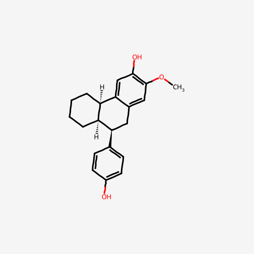 COc1cc2c(cc1O)[C@@H]1CCCC[C@@H]1[C@H](c1ccc(O)cc1)C2